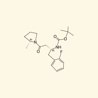 C[C@@H]1CCCN1C(=O)C[C@@H](Cc1ccccc1F)NC(=O)OC(C)(C)C